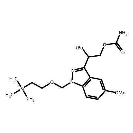 COc1ccc2c(c1)c(C(COC(N)=O)C(C)(C)C)nn2COCC[Si](C)(C)C